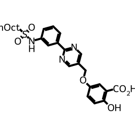 CCCCCCCCS(=O)(=O)Nc1cccc(-c2ncc(COc3ccc(O)c(C(=O)O)c3)cn2)c1